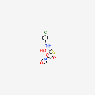 O=c1cc(N2CCOCC2)oc2c(C(O)NCc3ccc(Cl)cc3)csc12